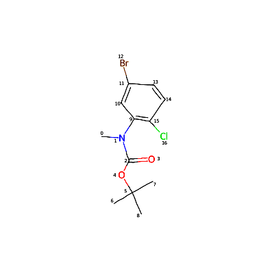 CN(C(=O)OC(C)(C)C)c1cc(Br)ccc1Cl